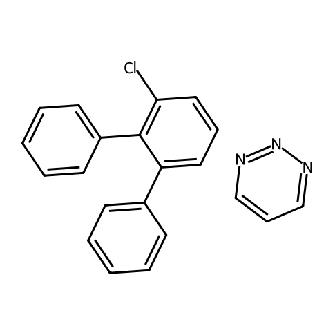 Clc1cccc(-c2ccccc2)c1-c1ccccc1.c1cnnnc1